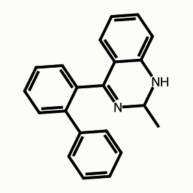 CC1N=C(c2ccccc2-c2ccccc2)c2ccccc2N1